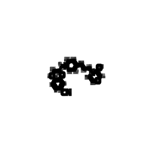 N#Cc1ccc2c(c1)O[C@@H](CN1CCC(CCCN3CCOCC3=O)CC1)CO2